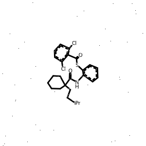 CC(C)CCC1(C(=O)Nc2ccccc2SC(=O)c2c(Cl)cccc2Cl)CCCCC1